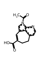 CC(=O)n1cc2c3c(ccnc31)CCC(C(=O)O)=C2